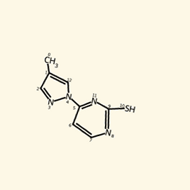 Cc1cnn(-c2ccnc(S)n2)c1